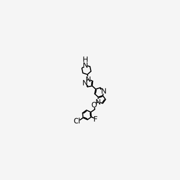 Fc1cc(Cl)ccc1COn1ccc2ncc(-c3cnn(C4CCNCC4)c3)cc21